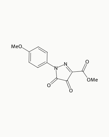 COC(=O)C1=NN(c2ccc(OC)cc2)C(=O)C1=O